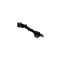 CC(C)CC(=O)NCCCOCCOCCOCCCNC(=O)CCC(=O)C(C)C